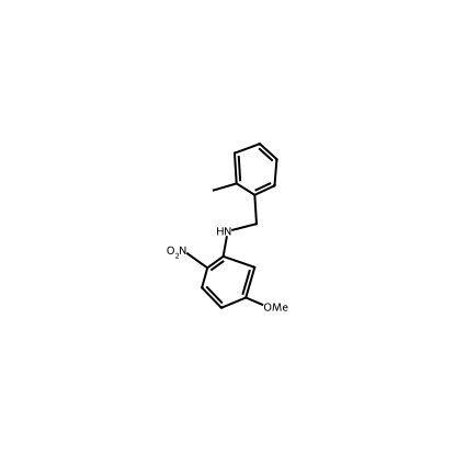 COc1ccc([N+](=O)[O-])c(NCc2ccccc2C)c1